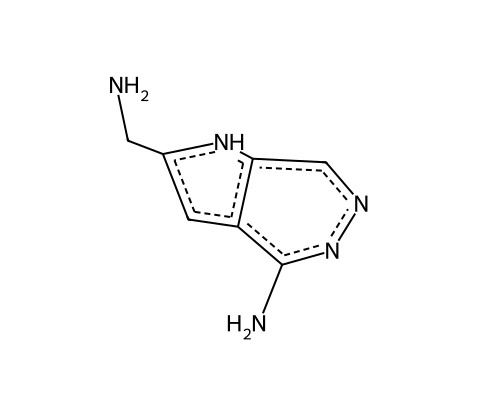 NCc1cc2c(N)nncc2[nH]1